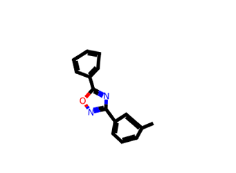 Cc1cccc(-c2noc(-c3ccccc3)n2)c1